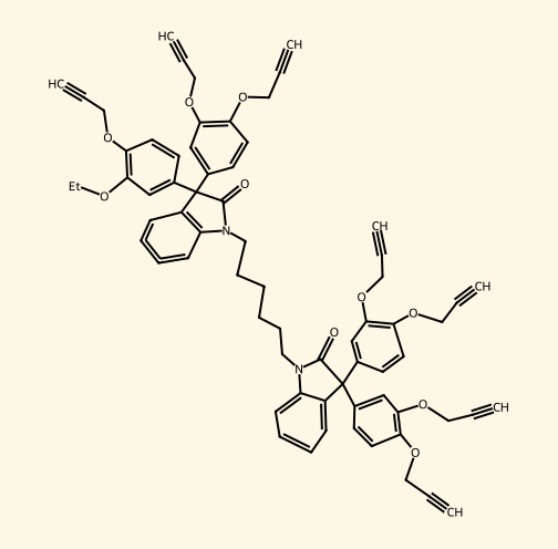 C#CCOc1ccc(C2(c3ccc(OCC#C)c(OCC#C)c3)C(=O)N(CCCCCCN3C(=O)C(c4ccc(OCC#C)c(OCC#C)c4)(c4ccc(OCC#C)c(OCC#C)c4)c4ccccc43)C3=C2C=C=C=C3)cc1OCC